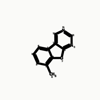 Cc1cccc2c1oc1ncncc12